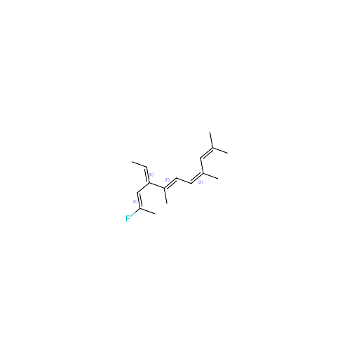 C/C=C(\C=C(/C)F)C(/C)=C/C=C(/C)C=C(C)C